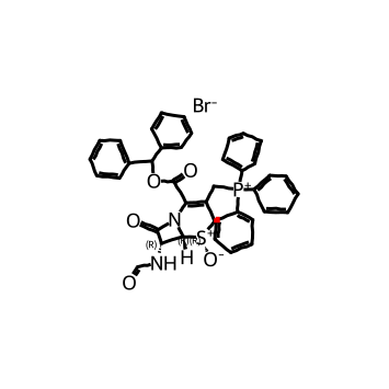 O=CN[C@@H]1C(=O)N2C(C(=O)OC(c3ccccc3)c3ccccc3)=C(C[P+](c3ccccc3)(c3ccccc3)c3ccccc3)C[S@+]([O-])[C@H]12.[Br-]